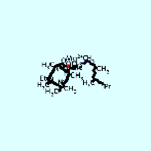 C=Cc1c(C)c2cc3nc(c4c5[n-]c(cc6nc(cc1[n-]2)C(C)=C6CC)c(C)c5C(=O)C4C(=O)OC)[C@@H](CCC(=O)OC/C=C(\C)CCCC(C)CCCC(C)CCCC(C)C)[C@@H]3C.[Mg+2]